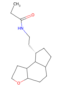 CCC(=O)NCC[C@@H]1CCC2CCC3OCCC3C21